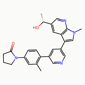 Cc1cc(N2CCCC2=O)ccc1-c1cncc(-c2cn(C)c3ncc([C@@H](C)O)cc23)c1